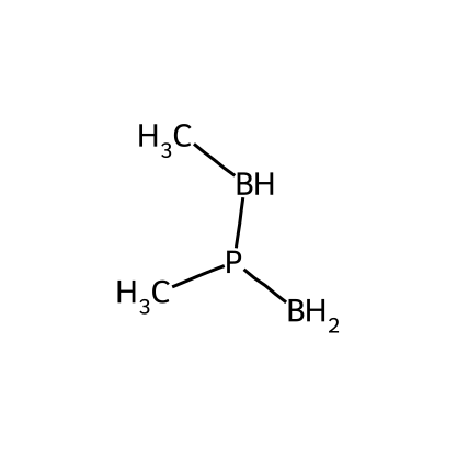 BP(C)BC